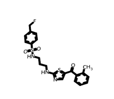 Cc1ccccc1C(=O)c1cnc(NCCCNS(=O)(=O)c2ccc(CF)cc2)s1